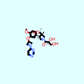 COc1ccc([C@@H]2CN(C(=O)[C@@H](O)CO)C[C@@]2(C)[C@@H](C)O)cc1OC1CN(c2ccncn2)C1